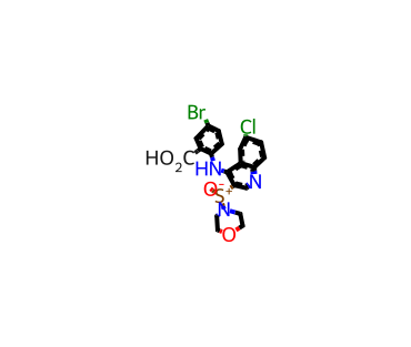 O=C(O)c1cc(Br)ccc1Nc1c([S+]([O-])N2CCOCC2)cnc2ccc(Cl)cc12